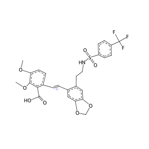 COc1ccc(/C=C/c2cc3c(cc2CCNS(=O)(=O)c2ccc(C(F)(F)F)cc2)OCO3)c(C(=O)O)c1OC